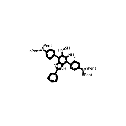 CCCCCN(CCCCC)c1ccc(-c2c(NS)c(N)c(-c3ccc(N(CCCCC)CCCCC)cc3)c3[nH]c(-c4ccccc4)nc23)cc1